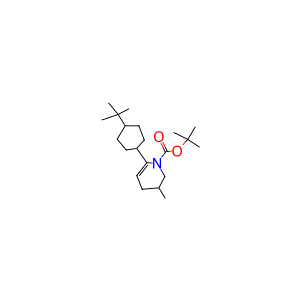 CC1CC=C(C2CCC(C(C)(C)C)CC2)N(C(=O)OC(C)(C)C)C1